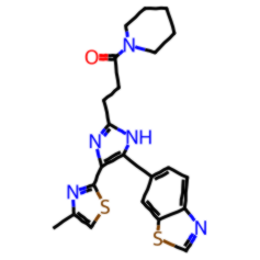 Cc1csc(-c2nc(CCC(=O)N3CCCCC3)[nH]c2-c2ccc3ncsc3c2)n1